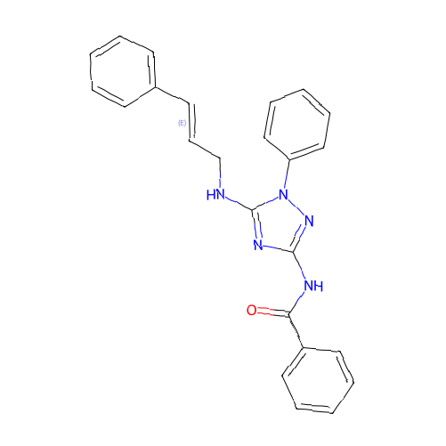 O=C(Nc1nc(NC/C=C/c2ccccc2)n(-c2ccccc2)n1)c1ccccc1